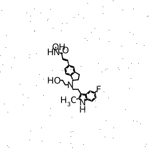 Cc1[nH]c2ccc(F)cc2c1CCN(CCO)C1CCc2cc(/C=C/C(=O)NO)ccc21